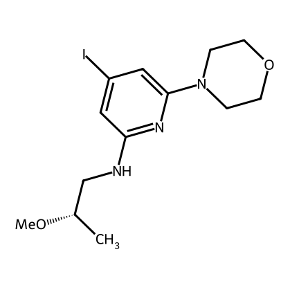 CO[C@@H](C)CNc1cc(I)cc(N2CCOCC2)n1